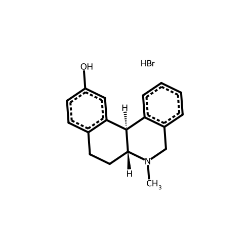 Br.CN1Cc2ccccc2[C@@H]2c3cc(O)ccc3CC[C@H]21